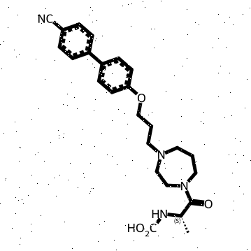 C[C@H](NC(=O)O)C(=O)N1CCCN(CCCOc2ccc(-c3ccc(C#N)cc3)cc2)CC1